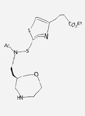 CCOC(=O)Cc1csc(SN(C[C@@H]2CNCCO2)C(C)=O)n1